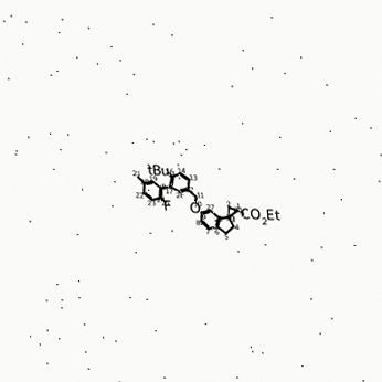 CCOC(=O)[C@H]1C[C@]12CCc1ccc(OCc3ccc(C(C)(C)C)c(-c4cc(C)ccc4F)c3)cc12